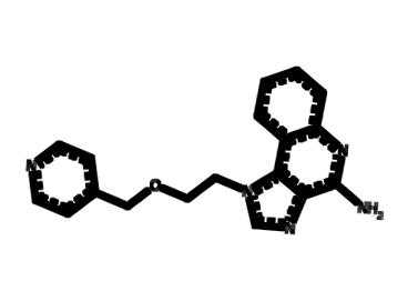 Nc1nc2ccccc2c2c1ncn2CCOCc1ccncc1